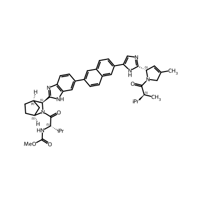 COC(=O)N[C@H](C(=O)N1[C@H]2CC[C@H](C2)[C@H]1c1nc2ccc(-c3ccc4cc(-c5cnc([C@@H]6C=C(C)CN6C(=O)[C@@H](C)C(C)C)[nH]5)ccc4c3)cc2[nH]1)C(C)C